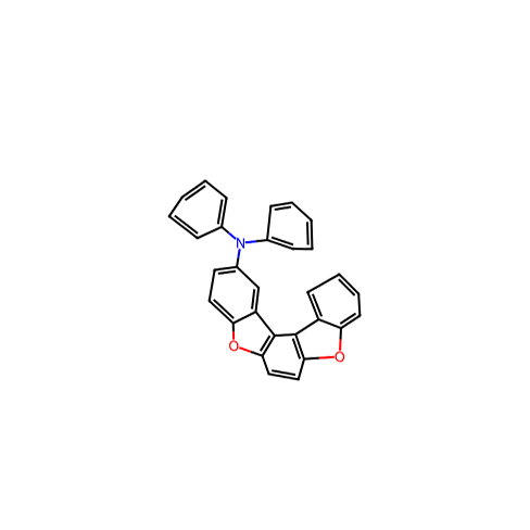 c1ccc(N(c2ccccc2)c2ccc3oc4ccc5oc6ccccc6c5c4c3c2)cc1